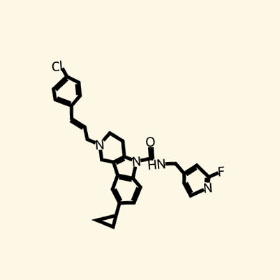 O=C(NCc1ccnc(F)c1)n1c2c(c3cc(C4CC4)ccc31)CN(CC=Cc1ccc(Cl)cc1)CC2